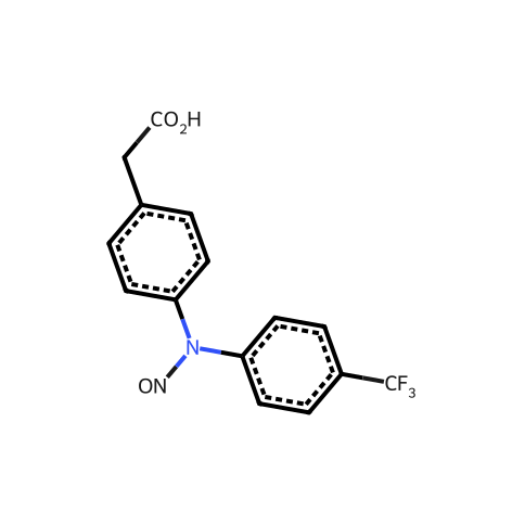 O=NN(c1ccc(CC(=O)O)cc1)c1ccc(C(F)(F)F)cc1